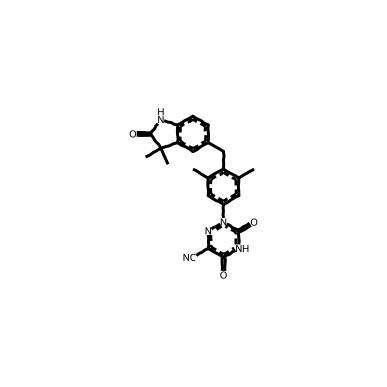 Cc1cc(-n2nc(C#N)c(=O)[nH]c2=O)cc(C)c1Cc1ccc2c(c1)C(C)(C)C(=O)N2